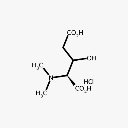 CN(C)[C@H](C(=O)O)C(O)CC(=O)O.Cl